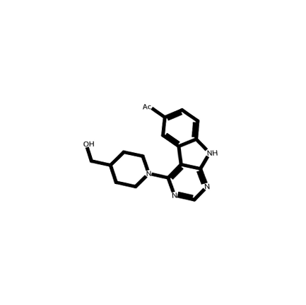 CC(=O)c1ccc2[nH]c3ncnc(N4CCC(CO)CC4)c3c2c1